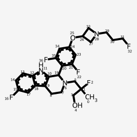 CC(F)(CO)CN1CCc2c([nH]c3ccc(F)cc23)C1c1c(F)cc(OC2CN(CCCF)C2)cc1F